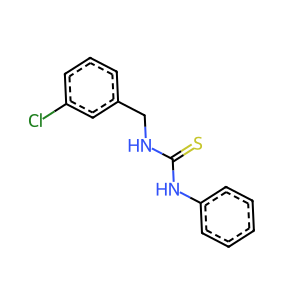 S=C(NCc1cccc(Cl)c1)Nc1ccccc1